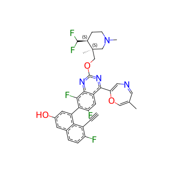 C#Cc1c(F)ccc2cc(O)cc(-c3c(F)cc4c(C5=CN=CC(C)=CO5)nc(OC[C@]5(C)CN(C)CC[C@@H]5C(F)F)nc4c3F)c12